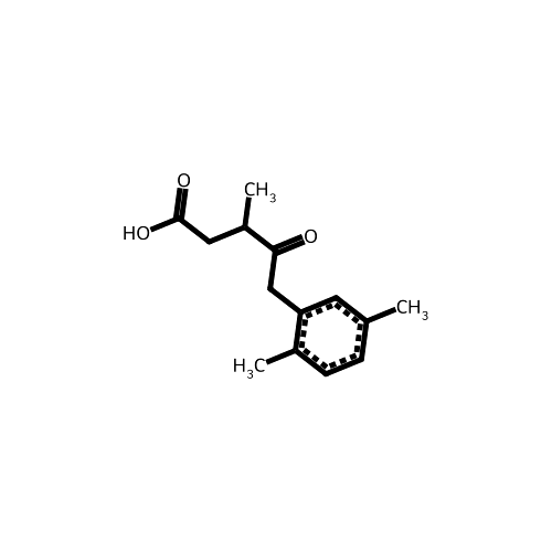 Cc1ccc(C)c(CC(=O)C(C)CC(=O)O)c1